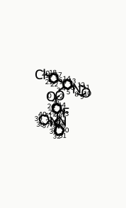 O=C(OCc1cc(N2CCOCC2)ccc1-c1ccc(Cl)cc1)c1ccc(-c2nc3ccccc3n2C2CCCCC2)c(F)c1